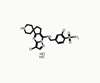 Cl.Cl.NS(=O)(=O)c1ccc(CNc2c3c(nc4c(Cl)cnn24)C2(CCNCC2)CC3)cc1Cl